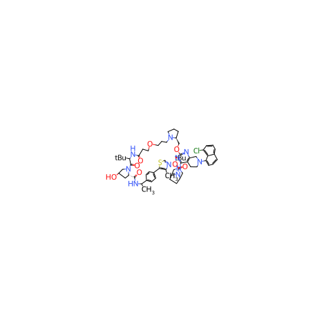 Cc1ncsc1-c1ccc(C(C)NC(=O)[C@@H]2C[C@@H](O)CN2C(=O)C(NC(=O)CCOCCCN2CCC[C@H]2COc2nc3c(c(N4CC5CCC(C4)N5C(=O)OC(C)(C)C)n2)CCN(c2cccc4cccc(Cl)c24)C3)C(C)(C)C)cc1